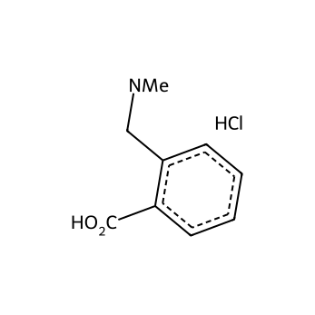 CNCc1ccccc1C(=O)O.Cl